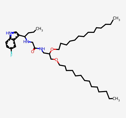 CCCCCCCCCCCCCCOCC(CNC(=O)CNC(CCC)c1c[nH]c2ccc(F)cc12)OCCCCCCCCCCCCCC